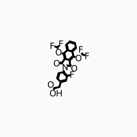 O=C(O)Cc1ccc(N2C(=O)c3c(c(OC(F)F)c4ccccc4c3OC(F)F)C2=O)c(F)c1